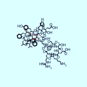 CC[C@H](C)[C@H](NC(=O)[C@H](CC(=O)O)NC(=O)CNC(=O)[C@@H]1CCCN1C(=O)[C@H](CCCNC(=N)N)NC(=O)[C@H](CCCCN)NC(=O)[C@H](CCC(=O)O)NC(=O)[C@@H](NC(=O)[C@@H](N)CO)[C@@H](C)O)C(=O)N[C@H](C(=O)N[C@@H](CC(C)C)C(=O)N[C@@H](Cc1ccccc1)C(=O)N[C@@H](Cc1ccc(O)cc1)C(=O)N[C@@H](Cc1c[nH]c2ccccc12)C(=O)N[C@@H](Cc1c[nH]cn1)C(=O)N[C@@H](CCC(=O)O)C(=O)O)C(C)C